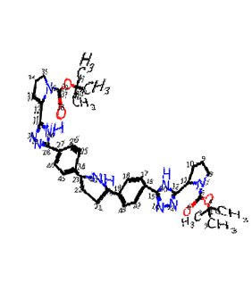 CC(C)(C)OC(=O)N1CCCC1c1nnc(-c2ccc(C3CCC(c4ccc(-c5nnc(C6CCCN6C(=O)OC(C)(C)C)[nH]5)cc4)N3)cc2)[nH]1